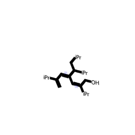 C=C(/C=C(\C=C(/CO)C(C)C)C(CC(C)C)C(C)C)C(C)C